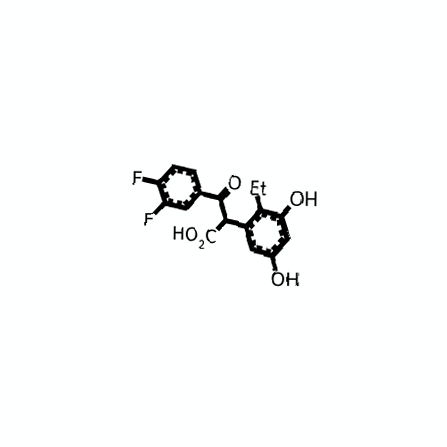 CCc1c(O)cc(O)cc1C(C(=O)O)C(=O)c1ccc(F)c(F)c1